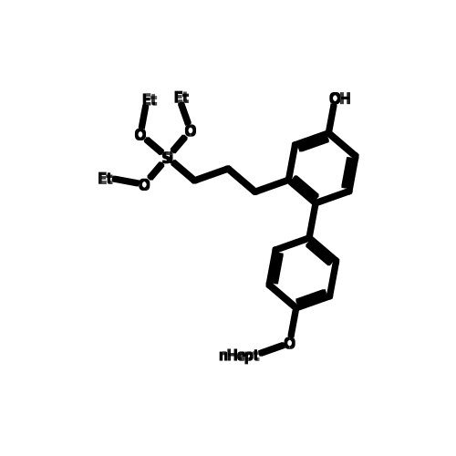 CCCCCCCOc1ccc(-c2ccc(O)cc2CCC[Si](OCC)(OCC)OCC)cc1